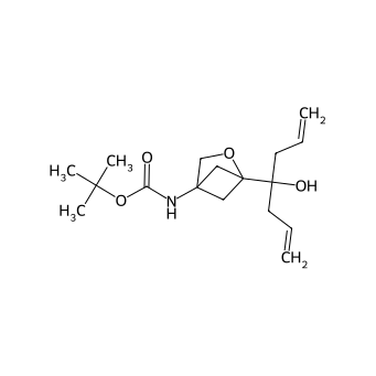 C=CCC(O)(CC=C)C12CC(NC(=O)OC(C)(C)C)(CO1)C2